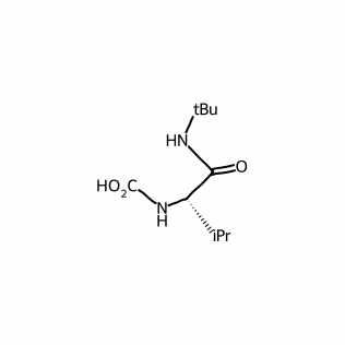 CC(C)[C@H](NC(=O)O)C(=O)NC(C)(C)C